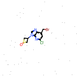 [O-][S+]1CC(n2cnc3c(CBr)cc(Cl)nc32)C1